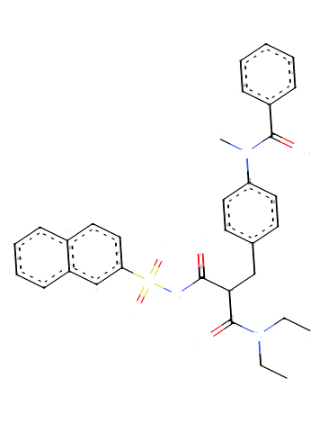 CCN(CC)C(=O)C(Cc1ccc(N(C)C(=O)c2ccccc2)cc1)C(=O)NS(=O)(=O)c1ccc2ccccc2c1